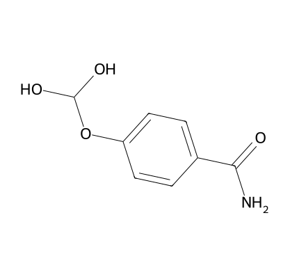 NC(=O)c1ccc(OC(O)O)cc1